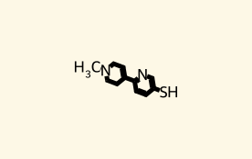 CN1CC=C(c2ccc(S)cn2)CC1